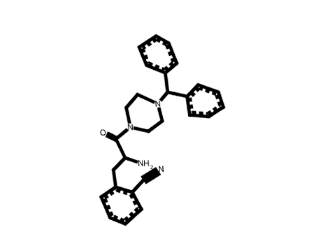 N#Cc1ccccc1CC(N)C(=O)N1CCN(C(c2ccccc2)c2ccccc2)CC1